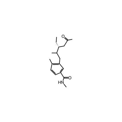 CC[C@H](CC(C)=O)C(C)Cc1cc(C(=O)NC)ccc1C